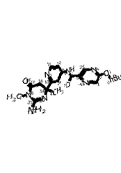 CCCCOc1cnc(C(=O)Nc2ccnc(C3(C)CC(=O)N(C)C(N)=N3)c2)cn1